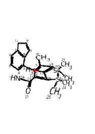 Cc1c(-c2cccc3c2C=CC3)c(C([NH])=O)c2c(C)c1[Si](C)(C)[Si]2(C)C